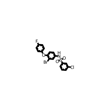 O=S(=O)(Nc1ccc(Oc2ccc(F)cc2)c(Br)c1)c1cccc(Cl)c1